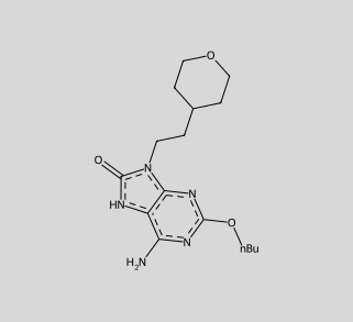 CCCCOc1nc(N)c2[nH]c(=O)n(CCC3CCOCC3)c2n1